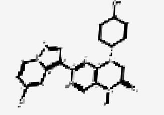 CN1C(=O)CN([C@H]2CC[C@H](O)CC2)c2nc(-c3cnn4ccc(Cl)cc34)ncc21